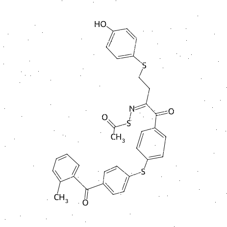 CC(=O)SN=C(CCSc1ccc(O)cc1)C(=O)c1ccc(Sc2ccc(C(=O)c3ccccc3C)cc2)cc1